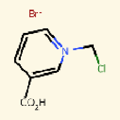 O=C(O)c1ccc[n+](CCl)c1.[Br-]